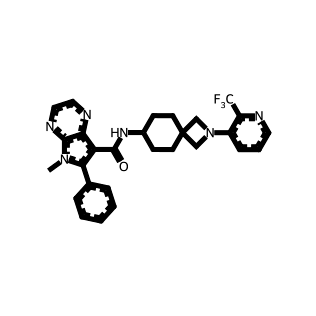 Cn1c(-c2ccccc2)c(C(=O)NC2CCC3(CC2)CN(c2cccnc2C(F)(F)F)C3)c2nccnc21